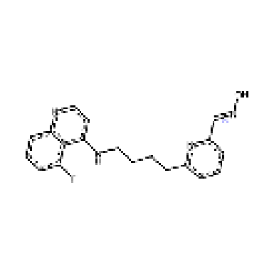 O/N=C/c1cccc(CCCCNc2ccnc3cccc(F)c23)n1